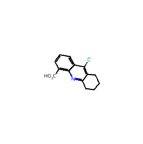 O=C(O)c1cccc2c(Cl)c3c(nc12)CCCC3